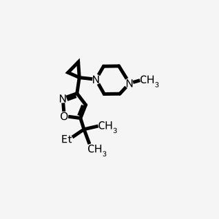 CCC(C)(C)c1cc(C2(N3CCN(C)CC3)CC2)no1